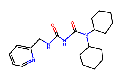 O=C(NCc1ccccn1)NC(=O)N(C1CCCCC1)C1CCCCC1